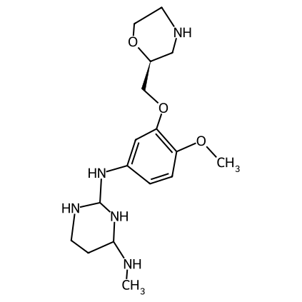 CNC1CCNC(Nc2ccc(OC)c(OC[C@@H]3CNCCO3)c2)N1